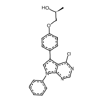 C[C@H](O)COc1ccc(-c2cn(-c3ccccc3)c3ncnc(Cl)c23)cc1